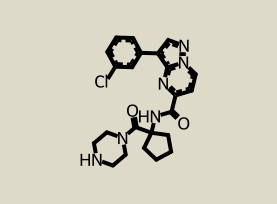 O=C(NC1(C(=O)N2CCNCC2)CCCC1)c1ccn2ncc(-c3cccc(Cl)c3)c2n1